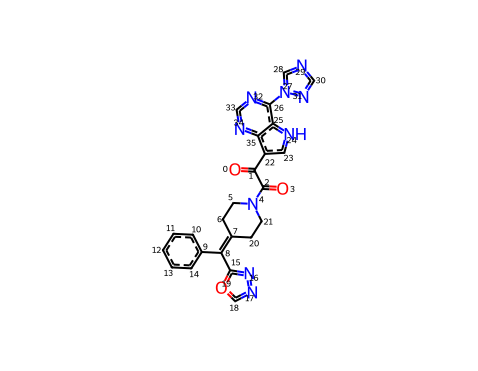 O=C(C(=O)N1CCC(=C(c2ccccc2)c2nnco2)CC1)c1c[nH]c2c(-n3cncn3)ncnc12